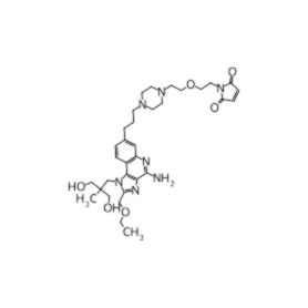 CCOCc1nc2c(N)nc3cc(CCCN4CCN(CCOCCN5C(=O)C=CC5=O)CC4)ccc3c2n1CC(C)(CO)CO